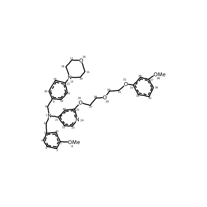 COc1cccc(CN(Cc2ccc(N3CCOCC3)cc2)c2ccnc(OCCOCCOc3cccc(OC)c3)c2)c1